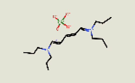 CCCN(/C=C/C=CC=[N+](CCC)CCC)CCC.[O-][Cl+3]([O-])([O-])[O-]